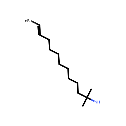 CCCCC=CCCCCCCCCC(C)(C)[NH]